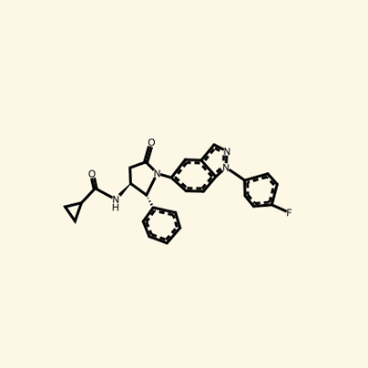 O=C(N[C@H]1CC(=O)N(c2ccc3c(cnn3-c3ccc(F)cc3)c2)[C@@H]1c1ccccc1)C1CC1